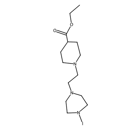 CCOC(=O)C1CCN(CCN2CCN(I)CC2)CC1